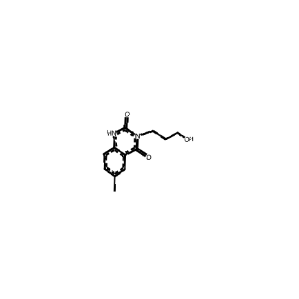 Cc1ccc2[nH]c(=O)n(CCCO)c(=O)c2c1